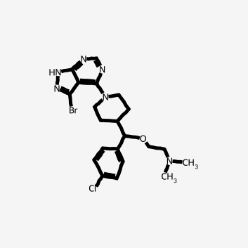 CN(C)CCOC(c1ccc(Cl)cc1)C1CCN(c2ncnc3[nH]nc(Br)c23)CC1